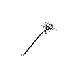 C#CC#CC#CC#CC#CC#CC#CC#CC#COC(=O)c1cc(C(C)(C)C)c(O)c(C(C)(C)C)c1